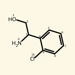 NC(CO)c1ccccc1Cl